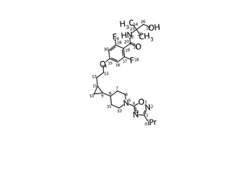 CC(C)c1noc(N2CCC(C3CC3CCOc3cc(F)c(C(=O)NC(C)(C)CO)c(F)c3)CC2)n1